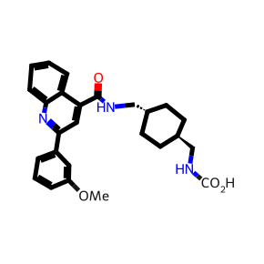 COc1cccc(-c2cc(C(=O)NC[C@H]3CC[C@H](CNC(=O)O)CC3)c3ccccc3n2)c1